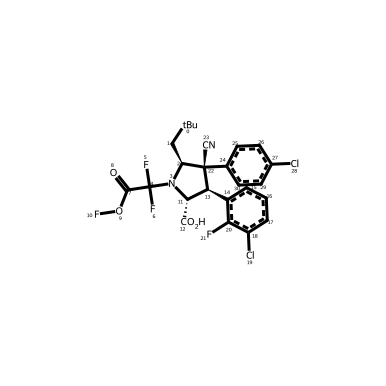 CC(C)(C)C[C@@H]1N(C(F)(F)C(=O)OF)[C@@H](C(=O)O)[C@H](c2cccc(Cl)c2F)[C@@]1(C#N)c1ccc(Cl)cc1